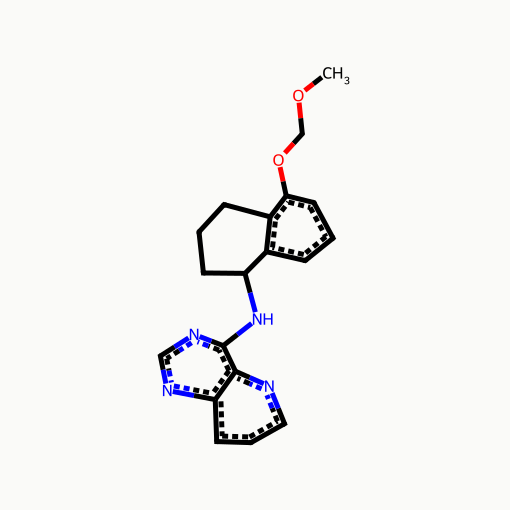 COCOc1cccc2c1CCCC2Nc1ncnc2cccnc12